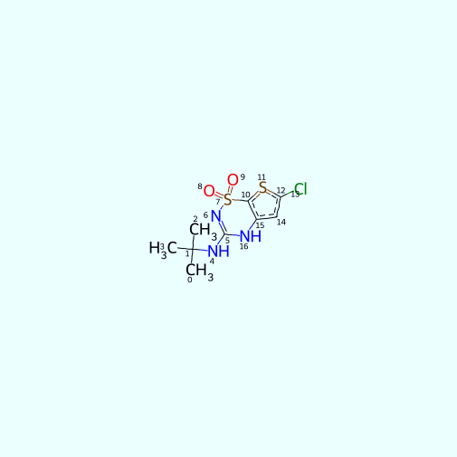 CC(C)(C)NC1=NS(=O)(=O)c2sc(Cl)cc2N1